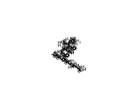 CC(=O)N(C)CC(=O)OC(=O)[C@@H](N)Cc1ccc(OC(=O)[C@@H](N)CC(C)C)cc1.N=C(N)NCCC[C@H](N)C(=O)O.NCC(N)=O.N[C@@H](Cc1c[nH]c2ccccc12)C(=O)O.N[C@@H](Cc1c[nH]cn1)C(=O)O.N[C@H](Cc1c[nH]c2ccccc12)C(=O)OC[C@H](N)C(=O)O.O=C(O)[C@@H]1CCCN1